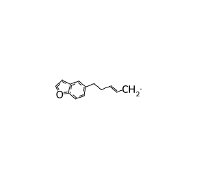 [CH2]C=CCCc1ccc2occc2c1